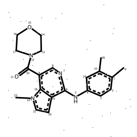 Cc1ccc(Nc2ncc(C(=O)N3CCOCC3)c3c2ccn3C)cc1C